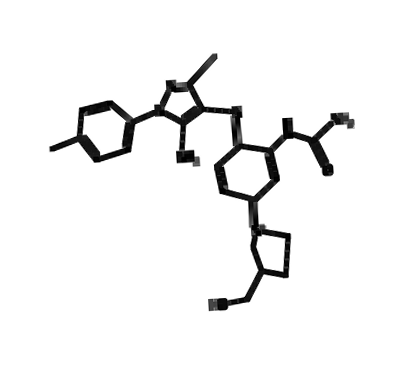 Cc1ccc(-n2nc(C)c(N=C3C=CC(=[N+]4CCC(CO)C4)C=C3NC(N)=O)c2N)cc1